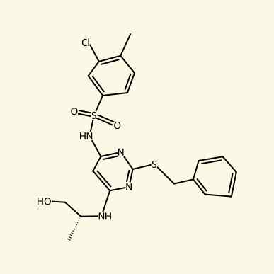 Cc1ccc(S(=O)(=O)Nc2cc(N[C@H](C)CO)nc(SCc3ccccc3)n2)cc1Cl